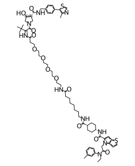 CCN(C(=O)Cn1c(C(=O)N[C@H]2CC[C@H](C(=O)NCCCCCCCC(=O)NCCOCCOCCOCCOCCC(=O)N[C@@H](C(=O)N3C[C@@H](O)[C@H](C(=O)NCc4ccc(-c5scnc5C)cc4)C3)C(C)(C)C)CC2)cc2sccc21)c1cccc(C)c1